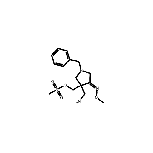 CON=C1CN(Cc2ccccc2)CC1(CN)COS(C)(=O)=O